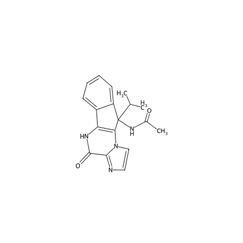 CC(=O)NC1(C(C)C)c2ccccc2-c2[nH]c(=O)c3nccn3c21